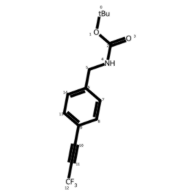 CC(C)(C)OC(=O)NCc1ccc(C#CC(F)(F)F)cc1